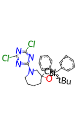 CC1(O[Si](c2ccccc2)(c2ccccc2)C(C)(C)C)CCCCN(c2nc(Cl)nc(Cl)n2)C1